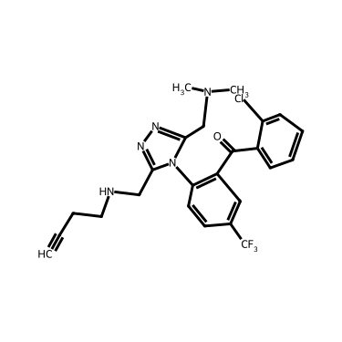 C#CCCNCc1nnc(CN(C)C)n1-c1ccc(C(F)(F)F)cc1C(=O)c1ccccc1Cl